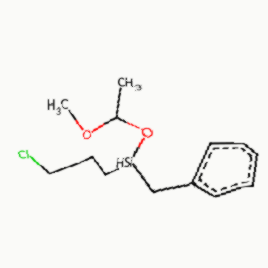 COC(C)O[SiH](CCCCl)Cc1ccccc1